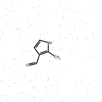 Cc1[nH]ccc1C=O